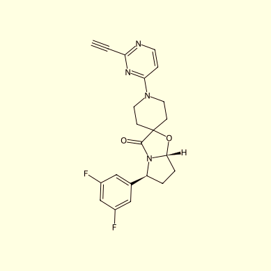 C#Cc1nccc(N2CCC3(CC2)O[C@@H]2CC[C@@H](c4cc(F)cc(F)c4)N2C3=O)n1